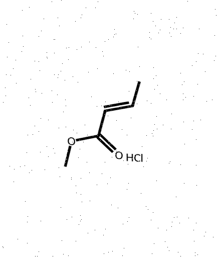 CC=CC(=O)OC.Cl